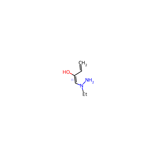 C=C/C(O)=C\N(N)CC